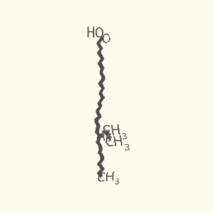 CCCCCCCCC(CCCCCCCCCCC=CCCCCCCCC(=O)O)N(C)C